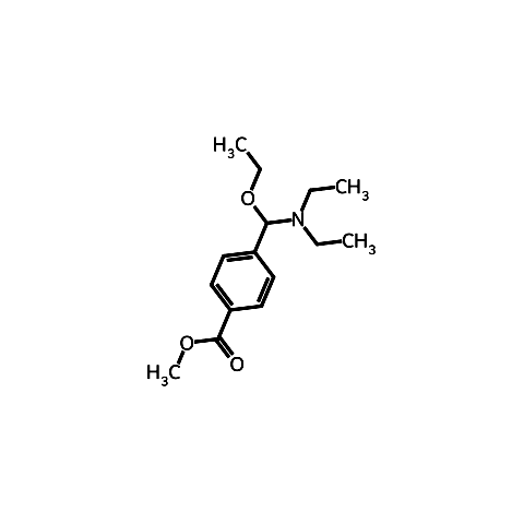 CCOC(c1ccc(C(=O)OC)cc1)N(CC)CC